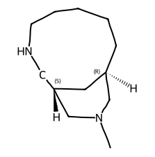 CN1C[C@@H]2CCCCCNC[C@H](C2)C1